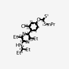 CCCSC(=S)Oc1ccc(-c2nc(CC)c(NC(CC)CC)nc2CC)c(Cl)c1